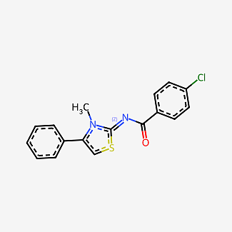 Cn1c(-c2ccccc2)cs/c1=N\C(=O)c1ccc(Cl)cc1